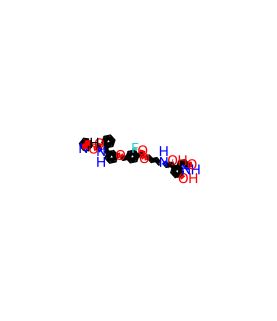 O=C(NC(c1ccccc1)c1cccc(OCc2ccc(C(=O)OCCCCNC[C@H](O)c3ccc(O)c4[nH]c(=O)ccc34)c(F)c2)c1)O[C@H]1CN2CCC1CC2